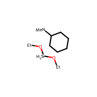 CCO[SiH2]OCC.CNC1CCCCC1